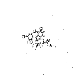 C=CC[C@@](CN(C)C(=O)CC(F)(F)F)(c1ccc(Cl)c(Cl)c1)N(Cc1ccc(Cl)cc1)C(=O)O